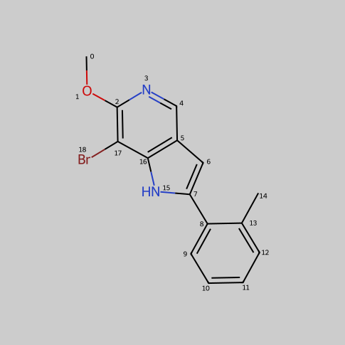 COc1ncc2cc(-c3ccccc3C)[nH]c2c1Br